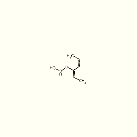 C/C=C\C(=C/C)OBO